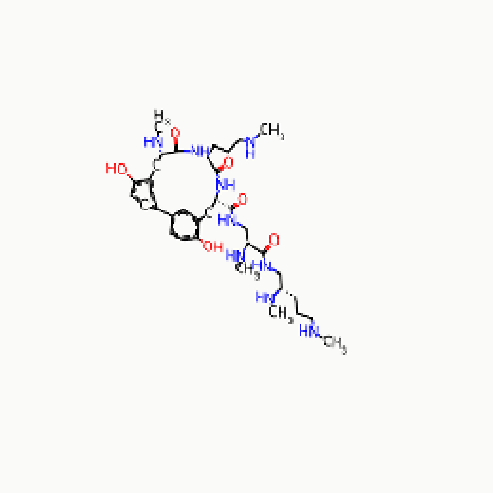 CNCCC[C@@H](CNC(=O)[C@H](CNC(=O)[C@@H]1Cc2cc(ccc2O)-c2ccc(O)c(c2)C[C@H](NC)C(=O)N[C@@H](CCCNC)C(=O)N1)NC)NC